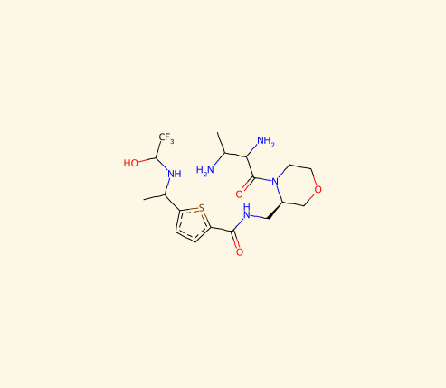 CC(NC(O)C(F)(F)F)c1ccc(C(=O)NC[C@@H]2COCCN2C(=O)C(N)C(C)N)s1